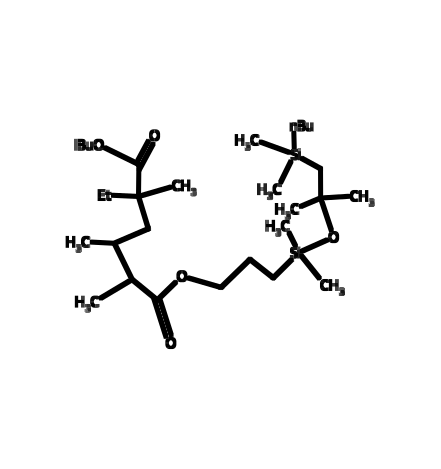 CCCC[Si](C)(C)CC(C)(C)O[Si](C)(C)CCCOC(=O)C(C)C(C)CC(C)(CC)C(=O)OCC(C)C